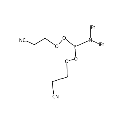 CC(C)N(C(C)C)P(OOCCC#N)OOCCC#N